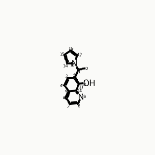 CC(c1ccc2cccnc2c1O)n1cccc1